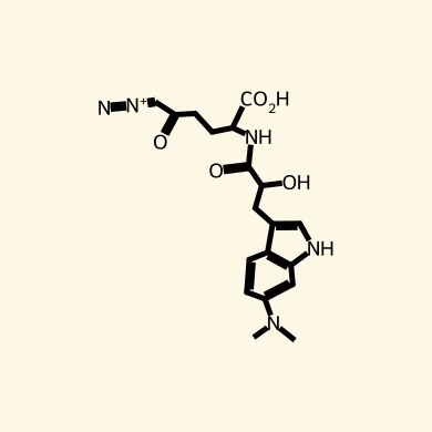 CN(C)c1ccc2c(CC(O)C(=O)NC(CCC(=O)C=[N+]=[N-])C(=O)O)c[nH]c2c1